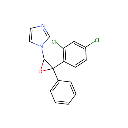 Clc1ccc(C2(c3ccccc3)OC2n2ccnc2)c(Cl)c1